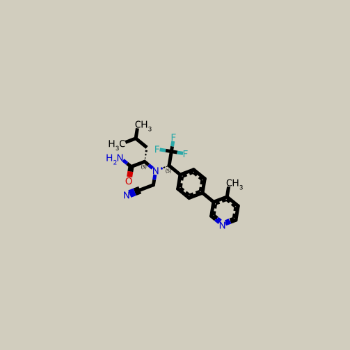 Cc1ccncc1-c1ccc([C@H](N(CC#N)[C@@H](CC(C)C)C(N)=O)C(F)(F)F)cc1